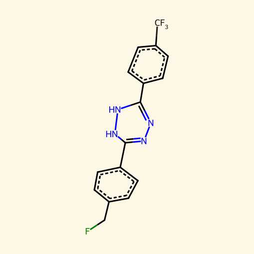 FCc1ccc(C2=NN=C(c3ccc(C(F)(F)F)cc3)NN2)cc1